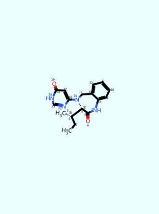 CC[C@H](C)[C@H]1C(=O)Nc2ccccc2CN1c1cc(=O)[nH]cn1